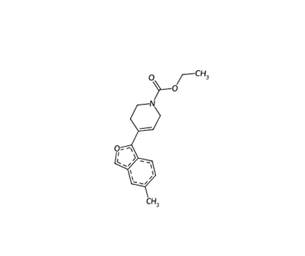 CCOC(=O)N1CC=C(c2occ3cc(C)ccc23)CC1